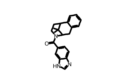 CC1(C)C2CCN(C(=O)c3ccc4nc[nH]c4c3)C1Cc1ccccc12